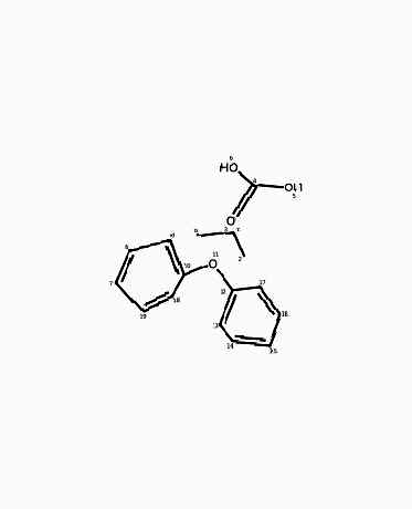 CCC.O=C(O)O.c1ccc(Oc2ccccc2)cc1